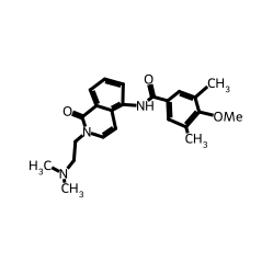 COc1c(C)cc(C(=O)Nc2cccc3c(=O)n(CCN(C)C)ccc23)cc1C